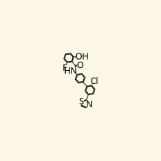 O=C(Nc1ccc(-c2cc(-c3nccs3)ccc2Cl)cc1)c1c(O)cccc1F